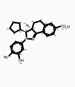 N#Cc1ccc(N2N=C3c4ccc(C(=O)O)cc4CC[C@@H]3[C@@H]2C2CCCC2)cc1O